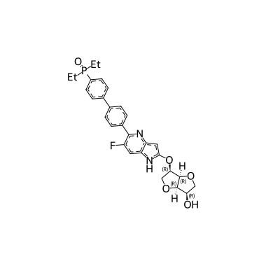 CCP(=O)(CC)c1ccc(-c2ccc(-c3nc4cc(O[C@@H]5CO[C@H]6[C@@H]5OC[C@H]6O)[nH]c4cc3F)cc2)cc1